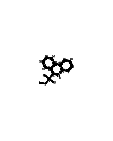 CCC(C)(C)c1nc2ccccc2c2ccccc12